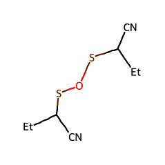 CCC(C#N)SOSC(C#N)CC